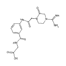 N=C(N)N1CCN(CC(=O)Nc2cccc(C(=O)NCC(=O)O)c2)C(=O)C1